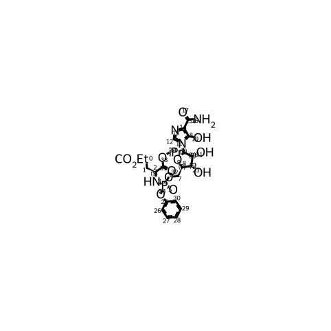 CCOC(=O)C[C@H](NP(=O)(OC[C@H]1O[C@@H](n2cnc(C(N)=O)c2O)[C@H](O)[C@@H]1O)Oc1ccccc1)C(=O)OC(C)C